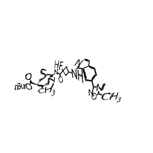 Cc1nc(-c2ccc3ccnc(NC4CC(F)(C(=O)Nc5nc(C)c(C(=O)OC(C)(C)C)s5)C4)c3c2)no1